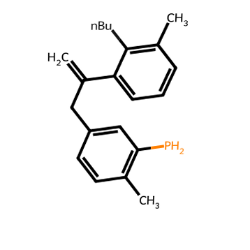 C=C(Cc1ccc(C)c(P)c1)c1cccc(C)c1CCCC